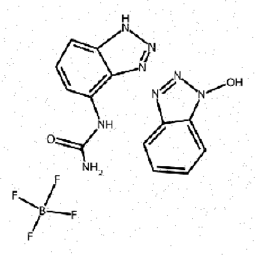 F[B-](F)(F)F.NC(=O)Nc1cccc2[nH]nnc12.On1nnc2ccccc21